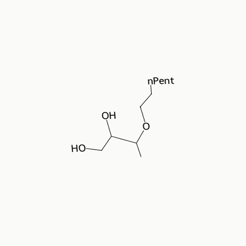 CCCCCCCOC(C)C(O)CO